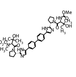 COC(=O)N[C@H](C(=O)N1CCC[C@H]1c1ncc(-c2ccc(-c3ccc(-c4cnc([C@@H]5CCCN5C(=O)[C@@H](N(C)C(=O)O)C(C)(C)O)[nH]4)cc3)cc2)[nH]1)C(C)(C)O